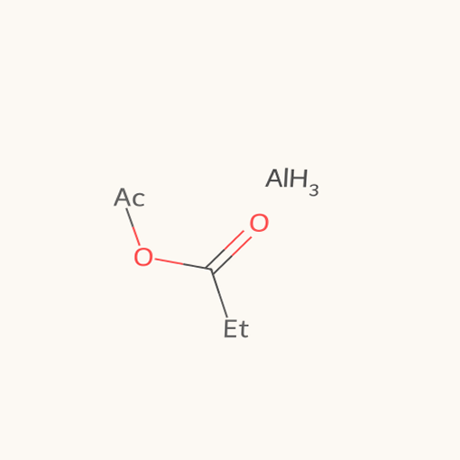 CCC(=O)OC(C)=O.[AlH3]